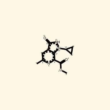 COC(=O)c1nc(C)cc2c(=O)[nH]n(C3CC3)c12